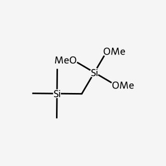 CO[Si](C[Si](C)(C)C)(OC)OC